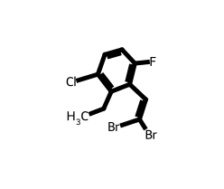 CCc1c(Cl)ccc(F)c1C=C(Br)Br